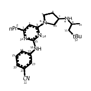 CCCc1cc(N2CCC(NC(C)CC(C)(C)C)C2)nc(Nc2cccc(C#N)c2)n1